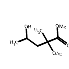 COC(=O)C(C)(CC(C)O)OC(C)=O